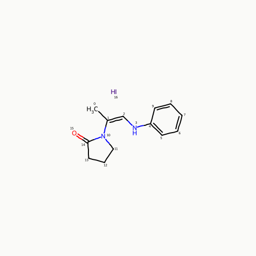 CC(=CNc1ccccc1)N1CCCC1=O.I